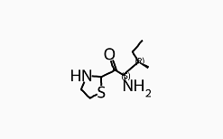 CC[C@@H](C)[C@H](N)C(=O)C1NCCS1